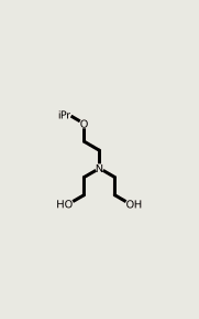 CC(C)OCCN(CCO)CCO